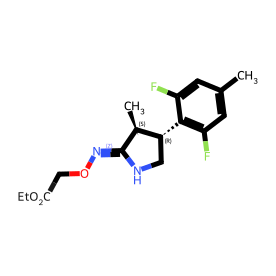 CCOC(=O)CO/N=C1\NC[C@@H](c2c(F)cc(C)cc2F)[C@@H]1C